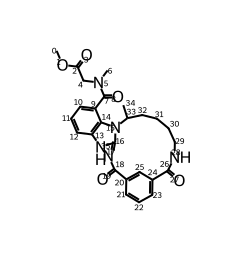 COC(=O)CN(C)C(=O)c1cccc2c1N1/C(=N/C(=O)c3cccc(c3)C(=O)NCCCCC1C)N2